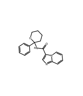 O=C(NC1(c2ccccc2)CCCCO1)c1cnc2ccccn12